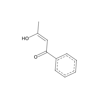 CC(O)=CC(=O)c1ccccc1